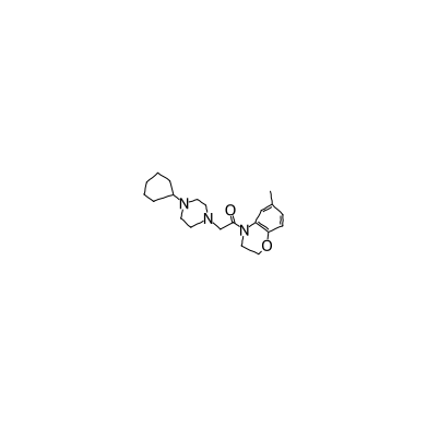 Cc1ccc2c(c1)N(C(=O)CN1CCN(C3CCCCC3)CC1)CCO2